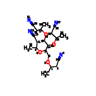 CC(CC#N)OCC(OC(C)CC#N)C(COC(C)CC#N)OC(C)CC#N